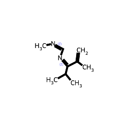 C=C(C)/C(=N\C=N/C)C(C)C